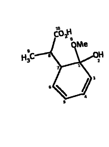 COC1(O)C=CC=CC1C(C)C(=O)O